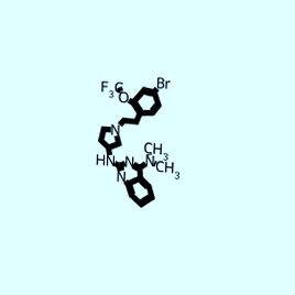 CN(C)c1nc(NC2CCN(CCc3ccc(Br)cc3OC(F)(F)F)C2)nc2ccccc12